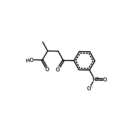 CC(CC(=O)c1cccc([N+](=O)[O-])c1)C(=O)O